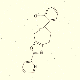 Clc1ccccc1C1CCc2nc(-c3ccccn3)oc2CC1